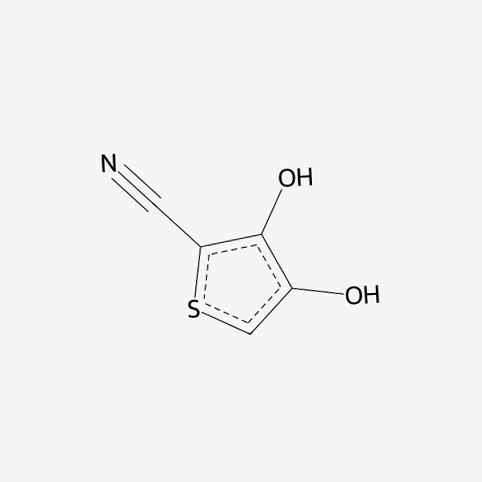 N#Cc1scc(O)c1O